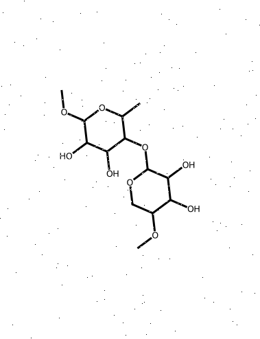 COC1COC(OC2C(C)OC(OC)C(O)C2O)C(O)C1O